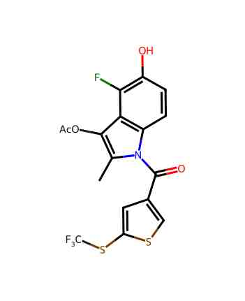 CC(=O)Oc1c(C)n(C(=O)c2csc(SC(F)(F)F)c2)c2ccc(O)c(F)c12